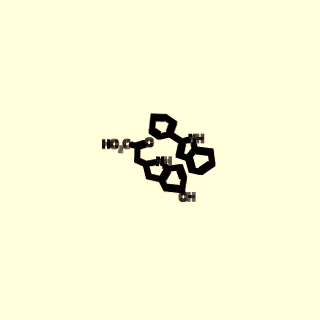 O=C(O)C(=O)CC1Cc2cc(O)ccc2N1.c1ccc(-c2cc3ccccc3[nH]2)cc1